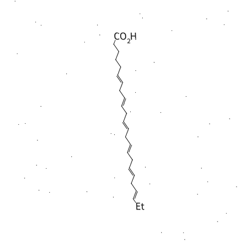 CCC=CCC=CCC=CCC=CCC=CCC=CCCCCC(=O)O